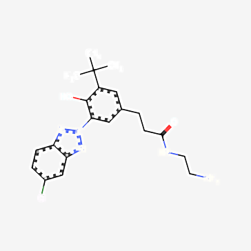 CC(C)(C)c1cc(CCC(=O)NCCN)cc(-n2nc3ccc(Cl)cc3n2)c1O